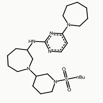 CCCCS(=O)(=O)N1CCCC(N2CCCCC(Nc3nccc(N4CCCCCC4)n3)C2)C1